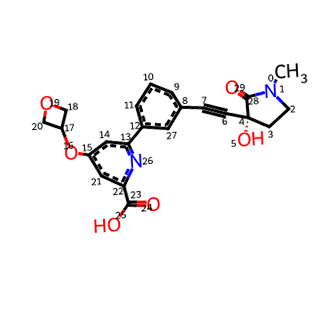 CN1CC[C@@](O)(C#Cc2cccc(-c3cc(OC4COC4)cc(C(=O)O)n3)c2)C1=O